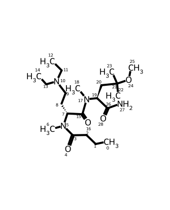 CCCC(=O)N(C)[C@H](CCN(CC)CC)C(=O)N(C)[C@@H](CC(C)(C)OC)C(N)=O